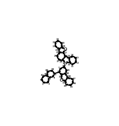 c1ccc2cc(-c3cc(-n4c5ccccc5c5c6oc7ccccc7c6ccc54)cc4c3oc3ccccc34)ccc2c1